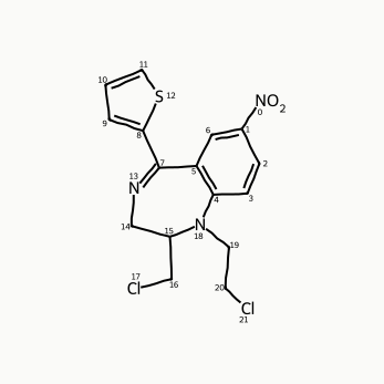 O=[N+]([O-])c1ccc2c(c1)C(c1cccs1)=NCC(CCl)N2CCCl